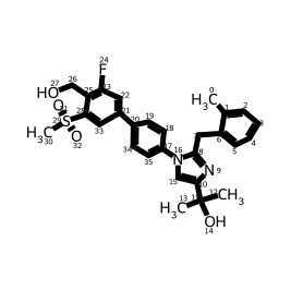 Cc1ccccc1Cc1nc(C(C)(C)O)cn1-c1ccc(-c2cc(F)c(CO)c(S(C)(=O)=O)c2)cc1